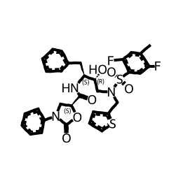 Cc1cc(F)c(S(=O)(=O)N(Cc2cccs2)C[C@@H](O)[C@H](Cc2ccccc2)NC(=O)[C@@H]2CN(c3ccccc3)C(=O)O2)cc1F